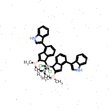 CB(C)C1=Cc2c(-c3c[nH]c4ccccc34)cccc2[CH]1[Zr]([Cl])([Cl])([CH]1C(B(C)C)=Cc2c(-c3c[nH]c4ccccc34)cccc21)=[Si](C)C